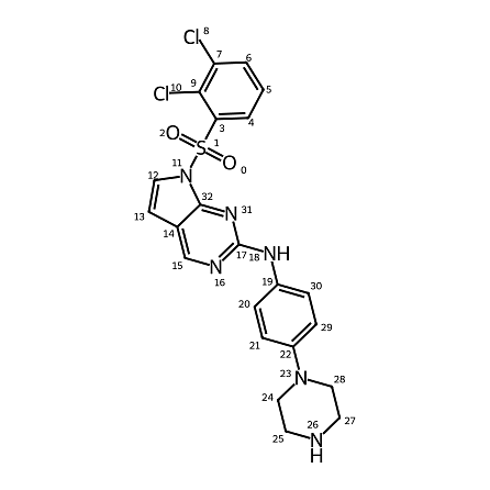 O=S(=O)(c1cccc(Cl)c1Cl)n1ccc2cnc(Nc3ccc(N4CCNCC4)cc3)nc21